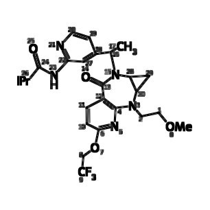 COCCN1c2nc(OCC(F)(F)F)ccc2C(=O)N(C(C)c2ccnc(NC(=O)C(C)C)c2)C2CC21